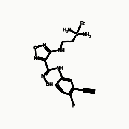 C#Cc1cc(N/C(=N\O)c2nonc2NCCS(N)(N)CC)ccc1F